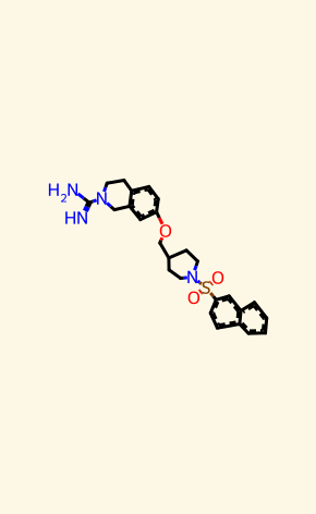 N=C(N)N1CCc2ccc(OCC3CCN(S(=O)(=O)c4ccc5ccccc5c4)CC3)cc2C1